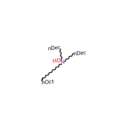 CCCCCCCC/C=C\CCCCCCCC[CH]CCN(CCCCCCCCCCCCCCCC)C(O)CCCCCCCCCCCCCCC